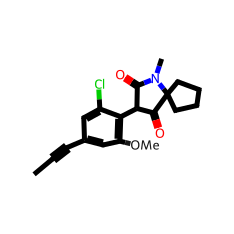 CC#Cc1cc(Cl)c(C2C(=O)N(C)C3(CCCC3)C2=O)c(OC)c1